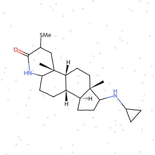 CSC1C[C@@]2(C)C(CC[C@@H]3[C@H]2CC[C@]2(C)C(NC4CC4)CC[C@@H]32)NC1=O